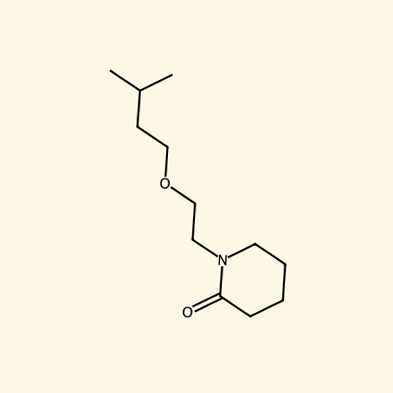 CC(C)CCOCCN1CCCCC1=O